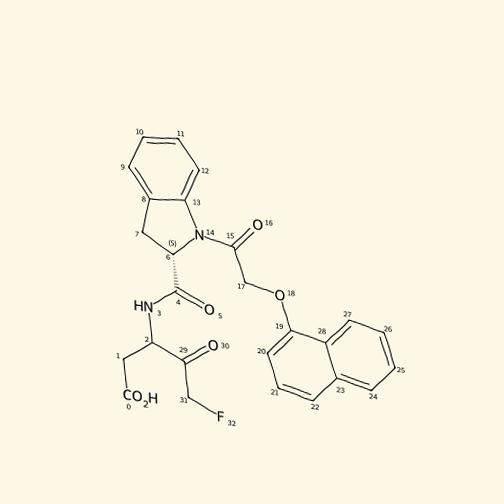 O=C(O)CC(NC(=O)[C@@H]1Cc2ccccc2N1C(=O)COc1cccc2ccccc12)C(=O)CF